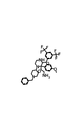 COc1ccc(C2(C(=O)CN)C(C(=O)c3cc(C(F)(F)F)cc(C(F)(F)F)c3)NCCN2C2CCN(Cc3ccccc3)CC2)cc1